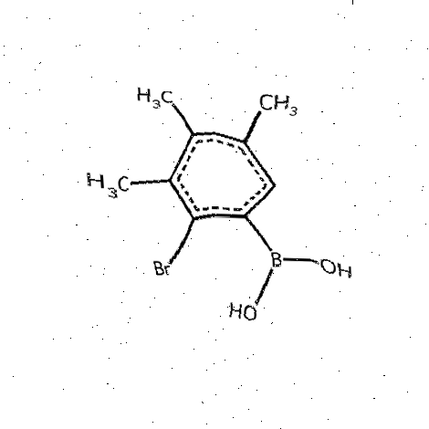 Cc1cc(B(O)O)c(Br)c(C)c1C